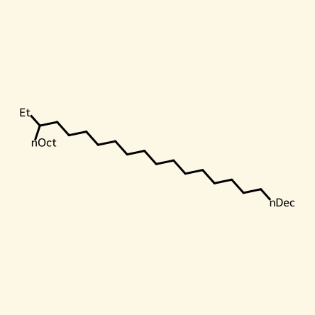 [CH2]CC(CCCCCCCC)CCCCCCCCCCCCCCCCCCCCCCCCC